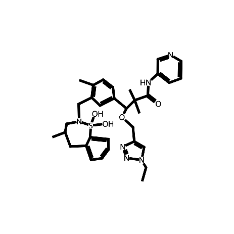 CCn1cc(COC(c2ccc(C)c(CN3CC(C)Cc4ccccc4S3(O)O)c2)C(C)(C)C(=O)Nc2cccnc2)nn1